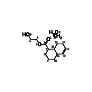 O.O=C(OCCO)C1CCCC2C=CCCC21.[CH2]